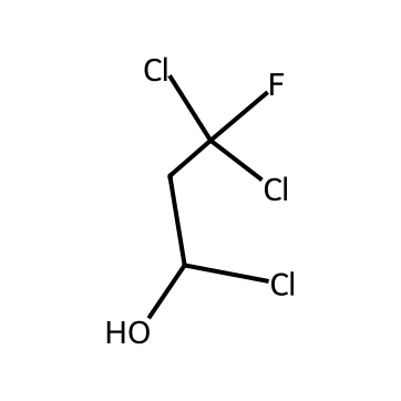 OC(Cl)CC(F)(Cl)Cl